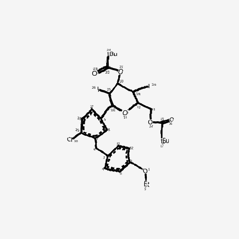 CCOc1ccc(Cc2cc(C3OC(COC(=O)C(C)(C)C)C(I)C(OC(=O)C(C)(C)C)C3I)ccc2Cl)cc1